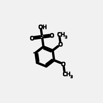 COc1cc[c]c(S(=O)(=O)O)c1OC